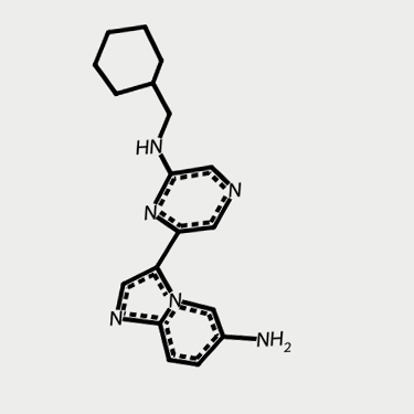 Nc1ccc2ncc(-c3cncc(NCC4CCCCC4)n3)n2c1